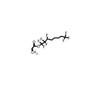 C=CC(=O)OC(F)(F)C(F)(F)C(F)CCCCC(F)(F)F